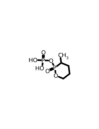 CC1CCCOP1(=O)OP(=O)(O)O